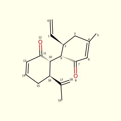 C=C[C@H]1CC(C)=CC(=O)[C@@H]1[C@H]1C(=O)C=CC[C@@H]1C(=C)C